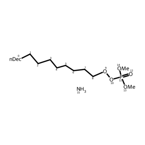 CCCCCCCCCCCCCCCCCCOOP(=O)(OC)OC.N